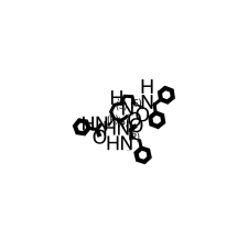 CN[C@H](Cc1ccccc1)C(=O)N[C@@H]1C(=O)N2[C@@H](CC[C@@H]1CNC(=O)c1ccccc1)CC[C@H]2C(=O)NC(c1ccccc1)c1ccccc1